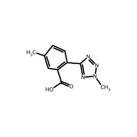 Cc1ccc(-c2nnn(C)n2)c(C(=O)O)c1